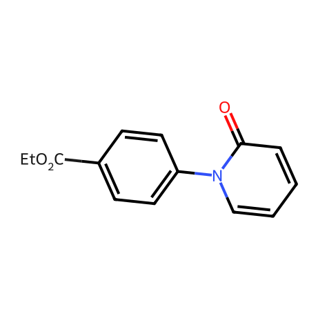 CCOC(=O)c1ccc(-n2ccccc2=O)cc1